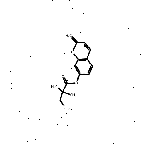 C=C1C=Cc2ccc(OC(=O)C(C)(C)CC)cc2O1